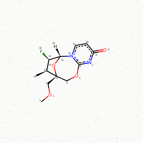 COC[C@]12COc3nc(=O)ccn3[C@H](O1)[C@H](F)[C@@H]2C